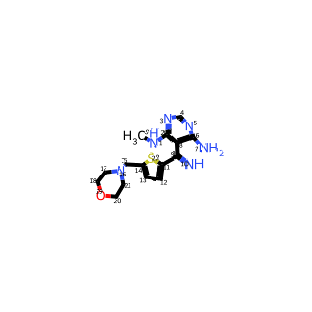 CNc1ncnc(N)c1C(=N)c1ccc(CN2CCOCC2)s1